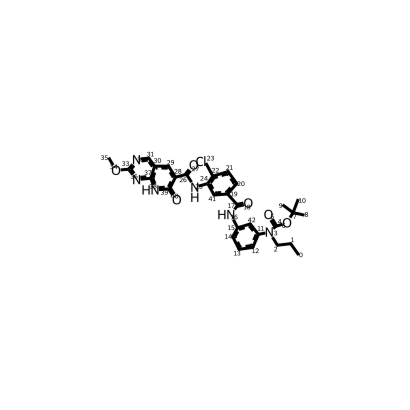 CCCN(C(=O)OC(C)(C)C)c1cccc(NC(=O)c2ccc(Cl)c(NC(=O)c3cc4cnc(OC)nc4[nH]c3=O)c2)c1